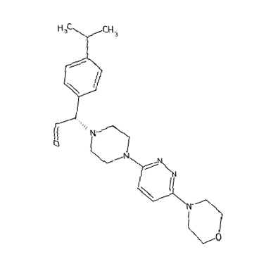 CC(C)c1ccc([C@@H](C=O)N2CCN(c3ccc(N4CCOCC4)nn3)CC2)cc1